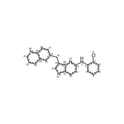 Clc1ccccc1Nc1ccc2ncc(Cc3ccc4ncccc4c3)n2n1